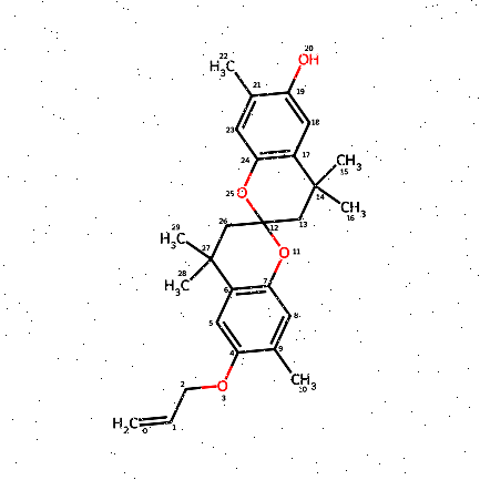 C=CCOc1cc2c(cc1C)OC1(CC(C)(C)c3cc(O)c(C)cc3O1)CC2(C)C